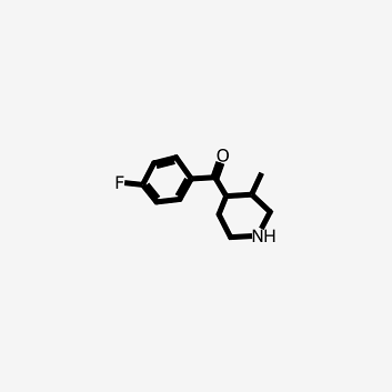 CC1CNCCC1C(=O)c1ccc(F)cc1